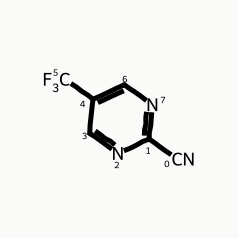 N#Cc1ncc(C(F)(F)F)cn1